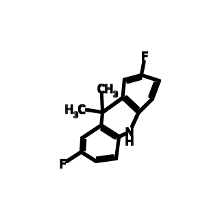 CC1(C)c2cc(F)ccc2Nc2ccc(F)cc21